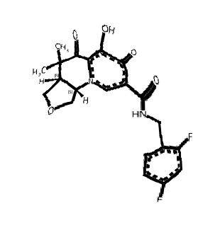 CC1(C)C(=O)c2c(O)c(=O)c(C(=O)NCc3ccc(F)cc3F)cn2[C@@H]2COC[C@@H]21